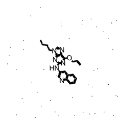 C=CCOc1nc(Nc2cnc3ccccc3c2)nc2c1ncn2CCCC